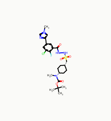 Cn1cnc(-c2cc(Cl)c(F)c(C(=O)NNS(=O)(=O)C[C@H]3CC[C@@H](N(C)C(=O)OC(C)(C)C)CC3)c2)c1